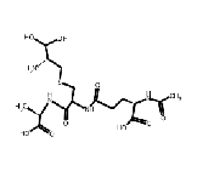 CC(=O)N[C@H](CCC(=O)N[C@H](CSC[C@H](N)C(O)O)C(=O)N[C@H](C)C(=O)O)C(=O)O